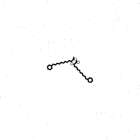 C(CCCCC1CCCCC1)CCCCC(OC(CCCCCCCCCC1CCCCC1)C1CO1)C1CO1